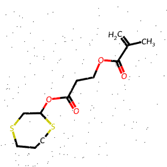 C=C(C)C(=O)OCCC(=O)OC1CSCCCS1